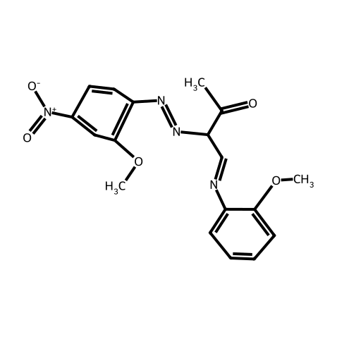 COc1ccccc1N=CC(N=Nc1ccc([N+](=O)[O-])cc1OC)C(C)=O